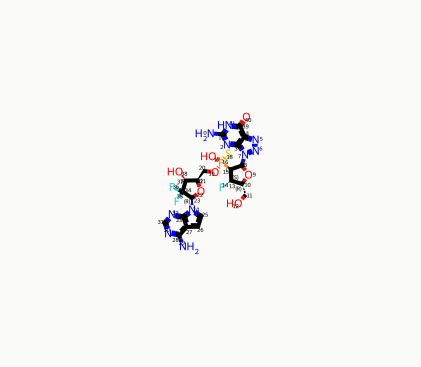 Nc1nc2c(nnn2C2O[C@H](CO)[C@H](F)[C@H]2P(O)(=S)OC[C@H]2O[C@@H](n3ccc4c(N)ncnc43)C(F)(F)[C@@H]2O)c(=O)[nH]1